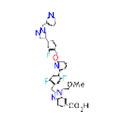 COCCn1c(Cc2cc(F)c(-c3cccc(OCc4ccc(-c5cnn(Cc6cccnc6)c5)cc4F)n3)cc2F)nc2ccc(C(=O)O)cc21